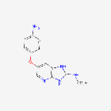 Nc1ccc(Oc2cnc3c(c2)NC(NC(=O)O)N3)cc1